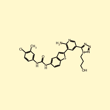 Cc1cc(NC(=O)Nc2ccc3sc(-c4cc(-c5nnnn5CCCO)cnc4N)cc3c2)ccc1Cl